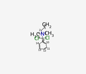 C=CC[N+](C)(C)C(Cl)(Cl)c1ccccc1